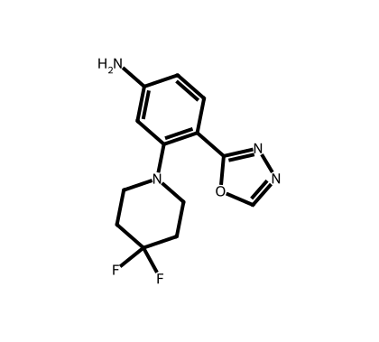 Nc1ccc(-c2nnco2)c(N2CCC(F)(F)CC2)c1